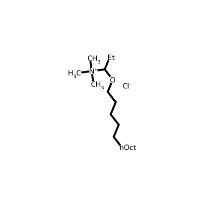 CCCCCCCCCCCCCOC(CC)[N+](C)(C)C.[Cl-]